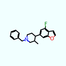 CC1CN(Cc2ccccc2)CCC1c1cc(F)c2ccoc2c1